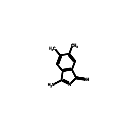 Cc1cc2c(cc1C)C(N)=NC2=N